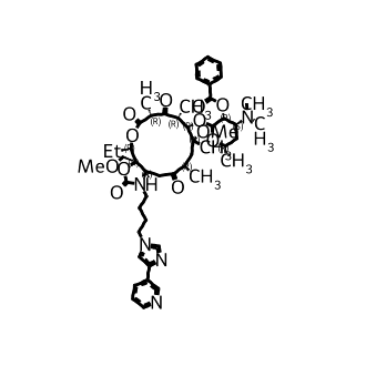 CC[C@H]1OC(=O)[C@H](C)C(=O)[C@H](C)[C@@H](OC2O[C@H](C)C[C@H](N(C)C)[C@H]2OC(=O)c2ccccc2)[C@@](C)(OC)C[C@@H](C)C(=O)C[C@H]2N(CCCCn3cnc(-c4cccnc4)c3)C(=O)O[C@]12COC